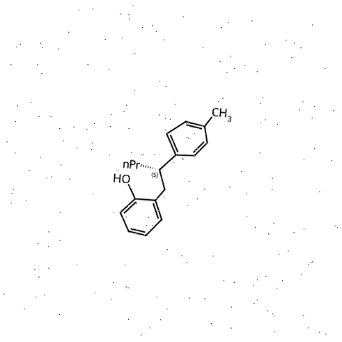 CCC[C@@H](Cc1ccccc1O)c1ccc(C)cc1